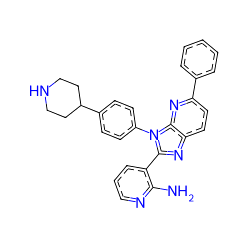 Nc1ncccc1-c1nc2ccc(-c3ccccc3)nc2n1-c1ccc(C2CCNCC2)cc1